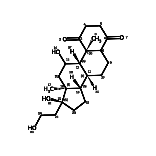 C[C@]12C(=O)CCC(=O)C1CC[C@@H]1[C@@H]2C(O)C[C@@]2(C)[C@H]1CC[C@]2(O)CCO